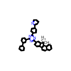 CC1(C)c2cc(-c3nc(-c4ccc(-c5ccccn5)cc4)nc(-c4cccc(-c5ccccc5)c4)n3)ccc2-c2ccc3ccccc3c21